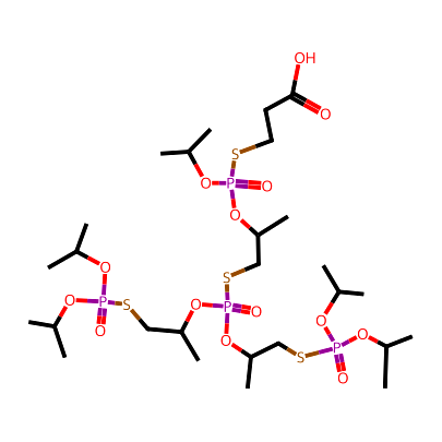 CC(C)OP(=O)(OC(C)C)SCC(C)OP(=O)(OC(C)CSP(=O)(OC(C)C)OC(C)C)SCC(C)OP(=O)(OC(C)C)SCCC(=O)O